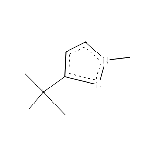 Cn1[c]cc(C(C)(C)C)n1